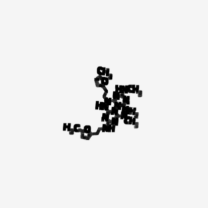 CNc1nc(NCCc2ccc(C)o2)nc(NN(CCc2ccc(C)o2)c2nc(N)nc(NC)n2)n1